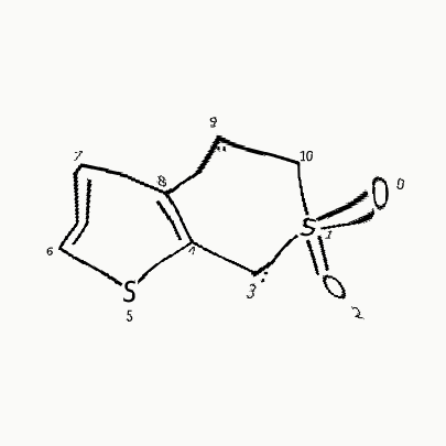 O=S1(=O)[C]c2sccc2[C]C1